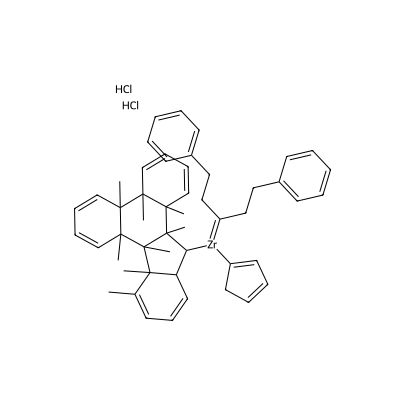 CC1=CC=CC2[CH]([Zr]([C]3=CC=CC3)=[C](CCc3ccccc3)CCc3ccccc3)C3(C)C4(C)C=CC=CC4(C)C4(C)C=CC=CC4(C)C3(C)C12C.Cl.Cl